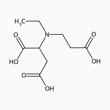 CCN(CCC(=O)O)C(CC(=O)O)C(=O)O